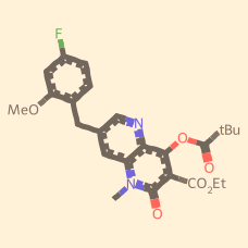 CCOC(=O)c1c(OC(=O)C(C)(C)C)c2ncc(Cc3ccc(F)cc3OC)cc2n(C)c1=O